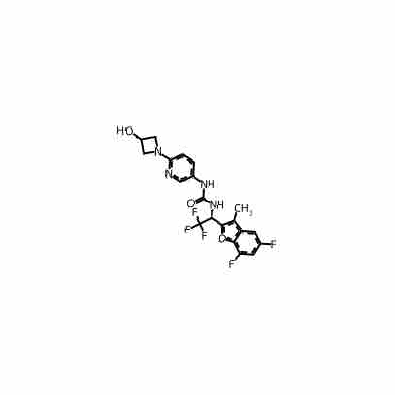 Cc1c([C@H](NC(=O)Nc2ccc(N3CC(O)C3)nc2)C(F)(F)F)oc2c(F)cc(F)cc12